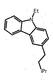 CCn1c2ccccc2c2cc(CCC(C)C)ccc21